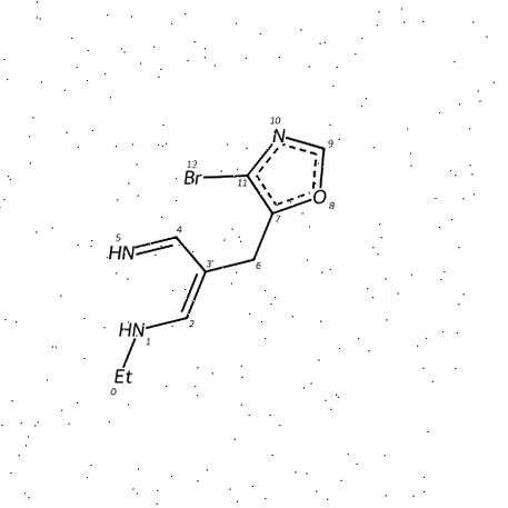 CCN/C=C(\C=N)Cc1ocnc1Br